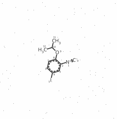 [C-]#[N+]c1cc(I)ccc1OC(C)C